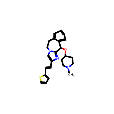 CN1CCC(OC2c3ccccc3CCn3cc(C=Cc4cccs4)nc32)CC1